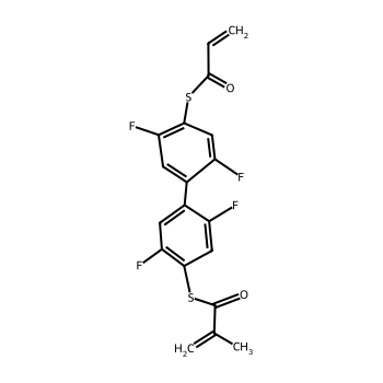 C=CC(=O)Sc1cc(F)c(-c2cc(F)c(SC(=O)C(=C)C)cc2F)cc1F